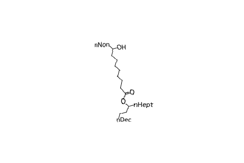 CCCCCCCCCCCCC(CCCCCCC)OC(=O)CCCCCCCC(O)CCCCCCCCC